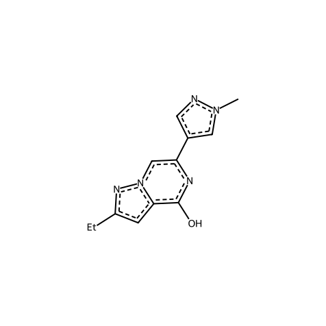 CCc1cc2c(O)nc(-c3cnn(C)c3)cn2n1